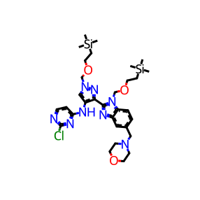 C[Si](C)(C)CCOCn1cc(Nc2ccnc(Cl)n2)c(-c2nc3cc(CN4CCOCC4)ccc3n2COCC[Si](C)(C)C)n1